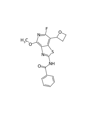 COc1nc(F)c(C2CCO2)c2sc(NC(=O)c3ccccc3)nc12